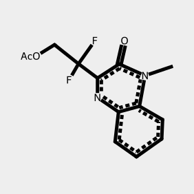 CC(=O)OCC(F)(F)c1nc2ccccc2n(C)c1=O